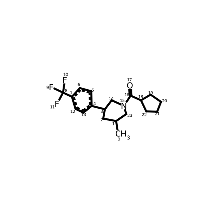 CC1CC(c2ccc(C(F)(F)F)cc2)CN(C(=O)C2CCCC2)C1